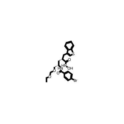 CCOCOC[C@H](C[C@H](Cc1csc2ccccc12)C(=O)NO)NC(=O)c1ccc(Br)cc1